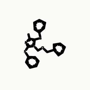 Cc1nc(Sc2ccccc2)n(COCc2ccccc2)c1Sc1ccccc1